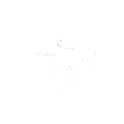 NC(=O)C1C=CCN1C1(C=O)CC1